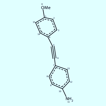 COc1ccc(C#Cc2ccc(N)cc2)cc1